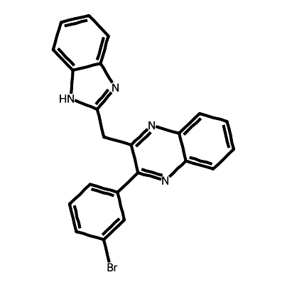 Brc1cccc(-c2nc3ccccc3nc2Cc2nc3ccccc3[nH]2)c1